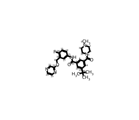 CN1CCN(C(=O)c2cc(C(=O)Nc3ccc(F)c(COc4cnccn4)c3)cc(C(C)(C)C)c2)CC1